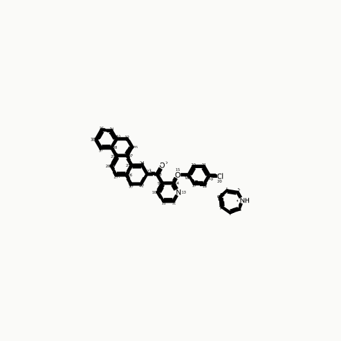 C1=CC=CNC=C1.O=C(c1cccnc1Oc1ccc(Cl)cc1)C1C=c2c(ccc3c2=CCc2ccccc2-3)CC1